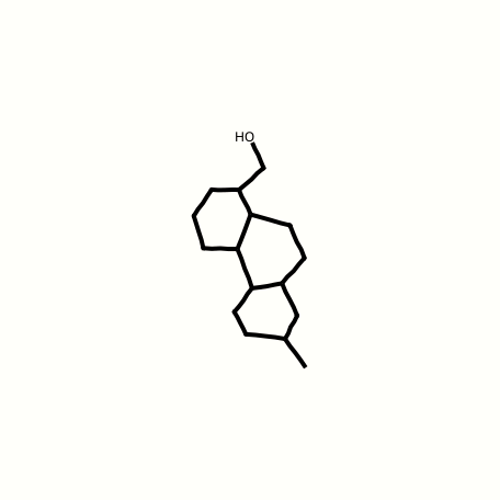 CC1CCC2C(CCC3C(CO)CCCC32)C1